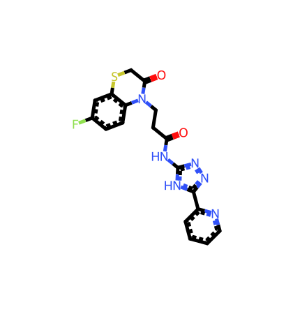 O=C(CCN1C(=O)CSc2cc(F)ccc21)Nc1nnc(-c2ccccn2)[nH]1